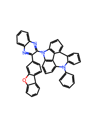 c1ccc(-n2c3ccccc3c3cccc4c3c3c2cccc3n4-c2nc3ccccc3nc2-c2ccc3c(c2)oc2ccccc23)cc1